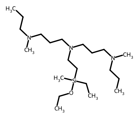 CCCN(C)CCCN(CCCN(C)CCC)CC[Si](C)(CC)OCC